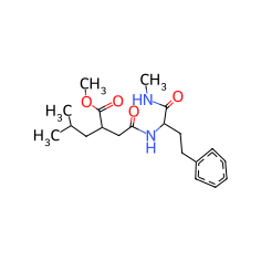 CNC(=O)C(CCc1ccccc1)NC(=O)CC(CC(C)C)C(=O)OC